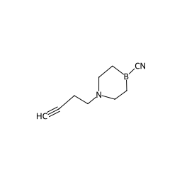 C#CCCN1CCB(C#N)CC1